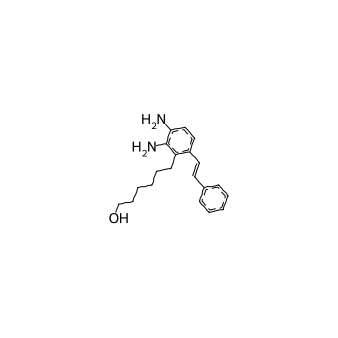 Nc1ccc(C=Cc2ccccc2)c(CCCCCCO)c1N